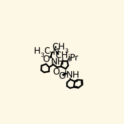 CC(C)[C@@H]1CC(C(=O)[C@@H](NC(=O)[C@H](C)N(C)C)C2CCCCC2)[C@H](C(=O)N[C@@H]2CCCc3ccccc32)C1